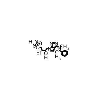 CC[C@@H](COS(N)(=O)=O)[C@@H](O)Cn1ccc2c(N(C)[C@@H](C)c3ccccc3)ncnc21